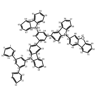 c1ccc(-c2cc(-c3ccccc3)cc(-n3c4ccccc4c4cc(-c5cc(-c6ccc7c(c6)c6ccccc6n7-c6ccc7c(c6)oc6ccccc67)cc(-n6c7ccccc7c7ccccc76)c5)ccc43)c2)cc1